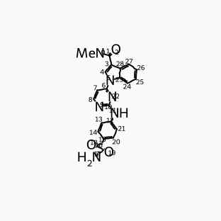 CNC(=O)c1cn(-c2ccnc(Nc3ccc(S(N)(=O)=O)cc3)n2)c2ccccc12